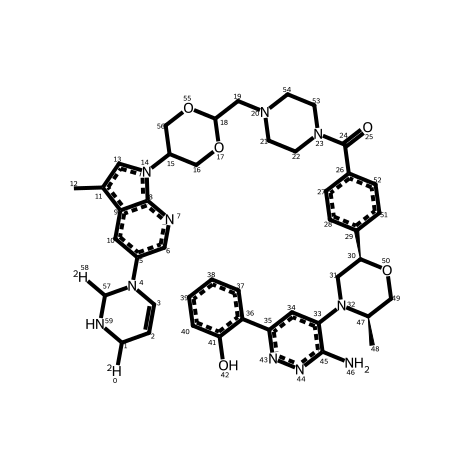 [2H]C1C=CN(c2cnc3c(c2)c(C)cn3C2COC(CN3CCN(C(=O)c4ccc([C@@H]5CN(c6cc(-c7ccccc7O)nnc6N)[C@H](C)CO5)cc4)CC3)OC2)C([2H])N1